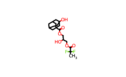 CC(F)(F)C(=O)OCC(O)COC(=O)C12CC3CC(CC(O)(C3)C1)C2